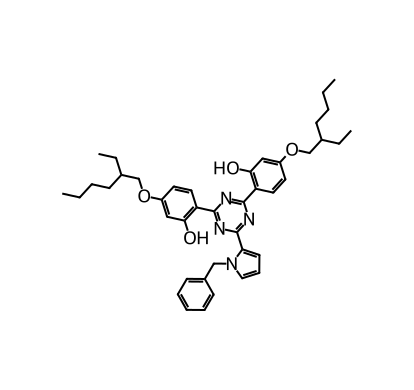 CCCCC(CC)COc1ccc(-c2nc(-c3ccc(OCC(CC)CCCC)cc3O)nc(-c3cccn3Cc3ccccc3)n2)c(O)c1